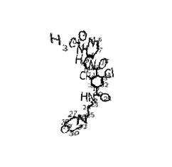 CC(=O)Nc1nccc2c1ccn2C(=O)c1c(Cl)cc(C(=O)NCCCN2CCOCC2)cc1Cl